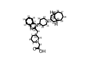 O=C(O)CN1CCC[C@@H](Cc2nc3ccccc3n2C2CCN([C@@H]3C[C@@H]4CCCC[C@@H](C4)C3)CC2)C1